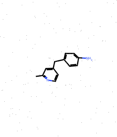 Cc1cc(Cc2ccc(N)cc2)ccn1